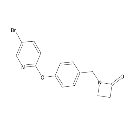 O=C1CCN1Cc1ccc(Oc2ccc(Br)cn2)cc1